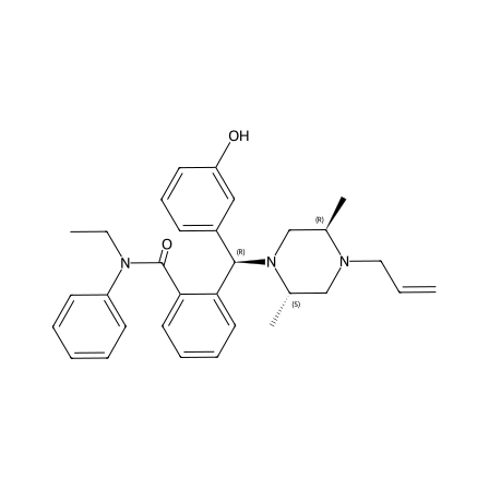 C=CCN1C[C@H](C)N([C@H](c2cccc(O)c2)c2ccccc2C(=O)N(CC)c2ccccc2)C[C@H]1C